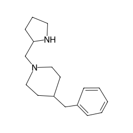 c1ccc(CC2CCN(CC3CCCN3)CC2)cc1